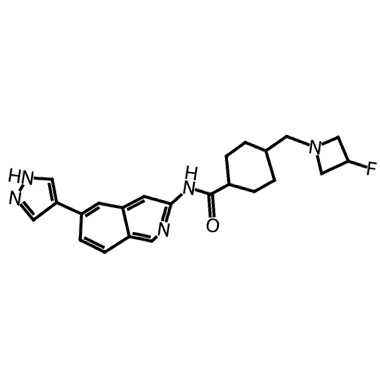 O=C(Nc1cc2cc(-c3cn[nH]c3)ccc2cn1)C1CCC(CN2CC(F)C2)CC1